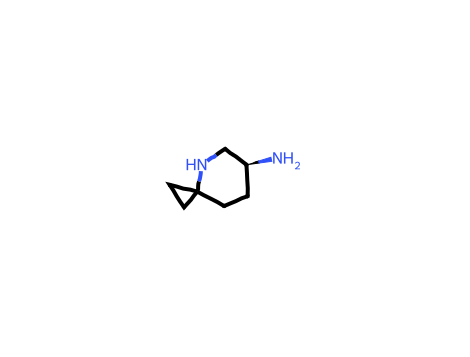 N[C@H]1CCC2(CC2)NC1